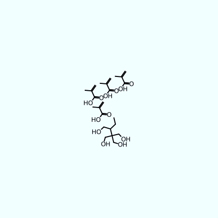 C=C(C)C(=O)O.C=C(C)C(=O)O.C=C(C)C(=O)O.C=C(C)C(=O)O.CCC(CO)C(CO)(CO)CO